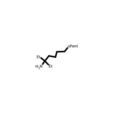 CCCCCCCCCC(N)(CC)CC